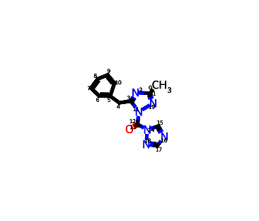 Cc1nc(Cc2ccccc2)n(C(=O)n2cncn2)n1